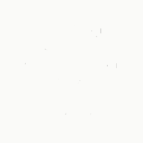 CC1CC2C=CC1C2.CC=C1CC2C=CC1C2